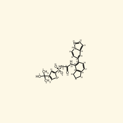 CC(C)(O)c1csc(S(=O)(=O)NC(=O)Nc2c(-c3ccn4nncc4c3)ccc3c2CCC3)c1